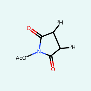 [3H]C1C(=O)N(OC(C)=O)C(=O)C1[3H]